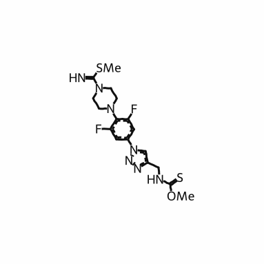 COC(=S)NCc1cn(-c2cc(F)c(N3CCN(C(=N)SC)CC3)c(F)c2)nn1